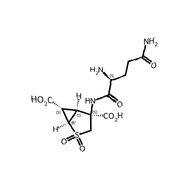 NC(=O)CC[C@H](N)C(=O)N[C@@]1(C(=O)O)CS(=O)(=O)[C@H]2[C@H](C(=O)O)[C@H]21